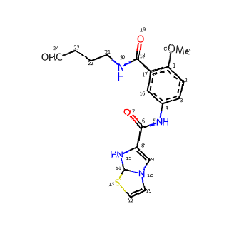 COc1ccc(NC(=O)C2=CN3C=CSC3N2)cc1C(=O)NCCCC=O